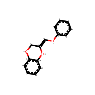 C(Oc1ccccc1)=C1COc2ccccc2O1